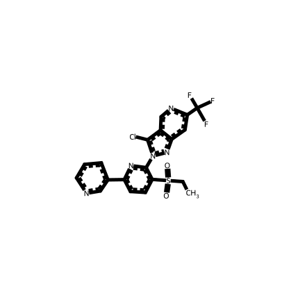 CCS(=O)(=O)c1ccc(-c2cccnc2)nc1-n1nc2cc(C(F)(F)F)ncc2c1Cl